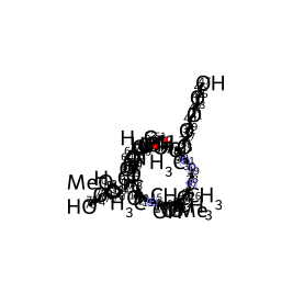 CO[C@@H]1C[C@H](C[C@@H](C)[C@@H]2CC(=O)[C@H](C)/C=C(\C)[C@@H](O)[C@@H](OC)C(=O)[C@H](C)C[C@H](C)/C=C/C=C/C=C(\C)[C@H](OCCOCCOCCOCCO)C[C@@H]3CC[C@@H](C)[C@@](O)(O3)C(=O)C(=O)N3CCCC[C@H]3C(=O)O2)CC[C@H]1OCCO